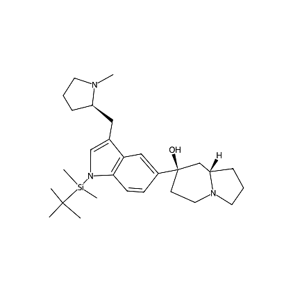 CN1CCC[C@@H]1Cc1cn([Si](C)(C)C(C)(C)C)c2ccc([C@@]3(O)CCN4CCC[C@H]4C3)cc12